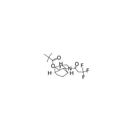 CC(C)(C)C(=O)O[C@@H]1C2[C@@H]3CC[C@H]1CC(C3)CN2C(=O)CC(F)(F)F